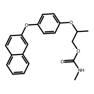 CNC(=O)OCC(C)Oc1ccc(Oc2ccc3ccccc3c2)cc1